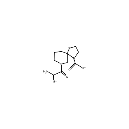 CC(C)C(=O)N1CCSC12CCCN(C(=O)C(N)C(C)C)C2